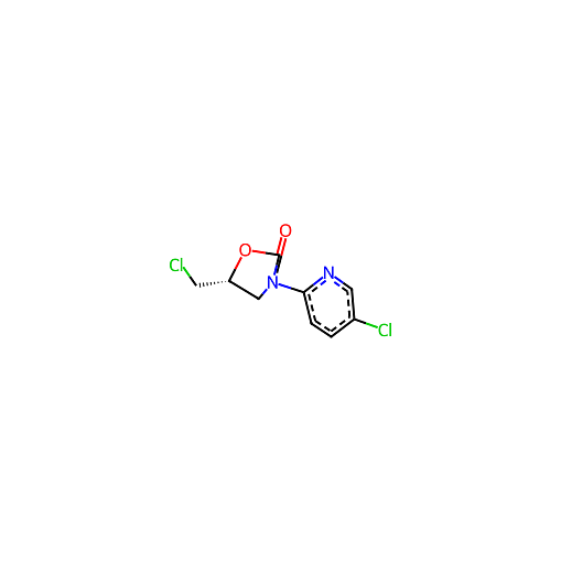 O=C1O[C@@H](CCl)CN1c1ccc(Cl)cn1